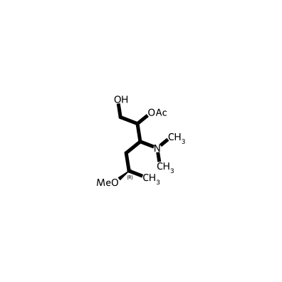 CO[C@H](C)CC(C(CO)OC(C)=O)N(C)C